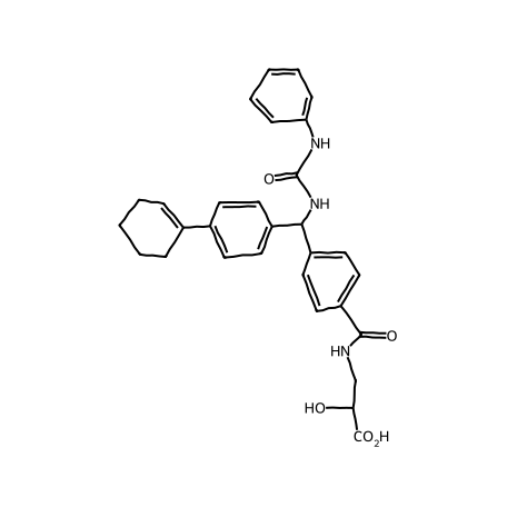 O=C(Nc1ccccc1)NC(c1ccc(C(=O)NCC(O)C(=O)O)cc1)c1ccc(C2=CCCCC2)cc1